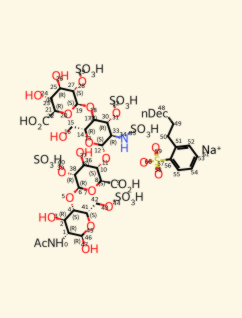 CC(=O)N[C@@H]1[C@@H](O)[C@H](O[C@@H]2O[C@H](C(=O)O)[C@@H](O[C@@H]3O[C@H](CO)[C@@H](O[C@H]4O[C@@H](C(=O)O)[C@H](O)[C@@H](O)[C@@H]4OS(=O)(=O)O)[C@H](OS(=O)(=O)O)[C@H]3NS(=O)(=O)O)[C@H](O)[C@H]2OS(=O)(=O)O)[C@H](COS(=O)(=O)O)O[C@H]1O.CCCCCCCCCCCCc1ccccc1S(=O)(=O)[O-].[Na+]